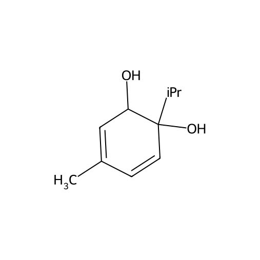 CC1=CC(O)C(O)(C(C)C)C=C1